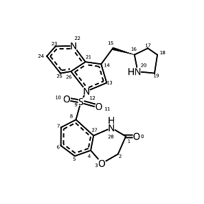 O=C1COc2cccc(S(=O)(=O)n3cc(C[C@H]4CCCN4)c4ncccc43)c2N1